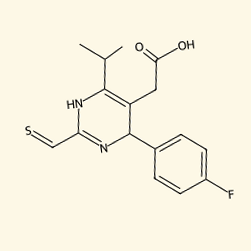 CC(C)C1=C(CC(=O)O)C(c2ccc(F)cc2)N=C(C=S)N1